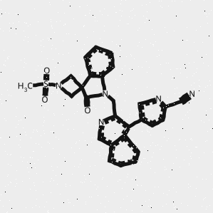 CS(=O)(=O)N1CC2(C1)C(=O)N(Cc1ncc3ccccc3c1-c1ccc(C#N)nc1)c1ccccc12